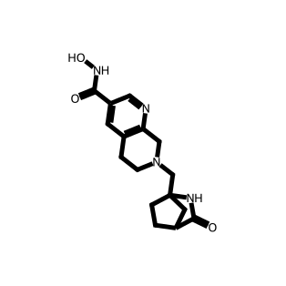 O=C(NO)c1cnc2c(c1)CCN(CC13CCC(C1)C(=O)N3)C2